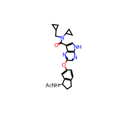 CC(=O)N[C@@H]1CCc2ccc(Oc3cnc4[nH]cc(C(=O)N(CC5CC5)C5CC5)c4n3)cc21